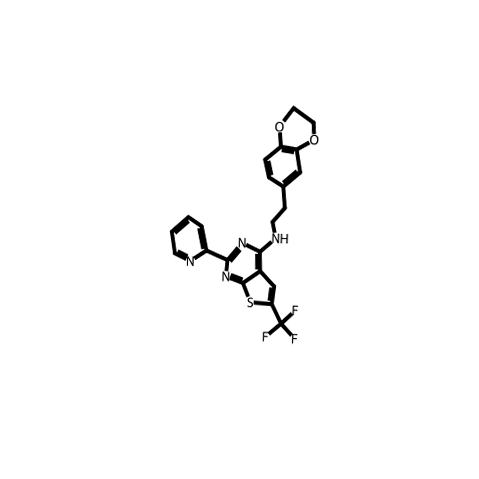 FC(F)(F)c1cc2c(NCCc3ccc4c(c3)OCCO4)nc(-c3ccccn3)nc2s1